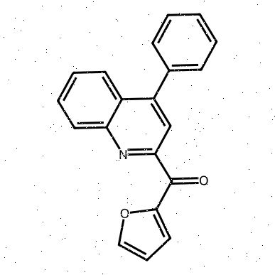 O=C(c1cc(-c2ccccc2)c2ccccc2n1)c1ccco1